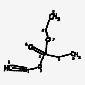 C#COP(=O)(CC)OCC